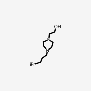 CC(C)CCCN1CCN(CCO)CC1